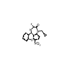 O=C1C(F)N=C(c2ccccc2Cl)c2cc([N+](=O)[O-])ccc2N1CC1CC1